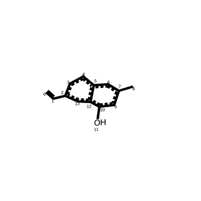 C=Cc1ccc2cc(C)cc(O)c2c1